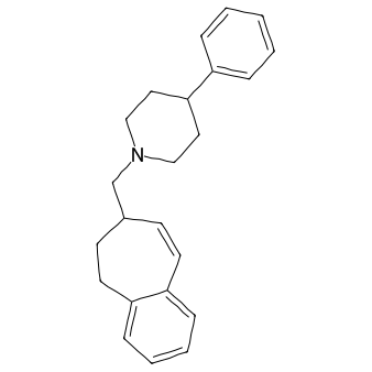 C1=CC(CN2CCC(c3ccccc3)CC2)CCc2ccccc21